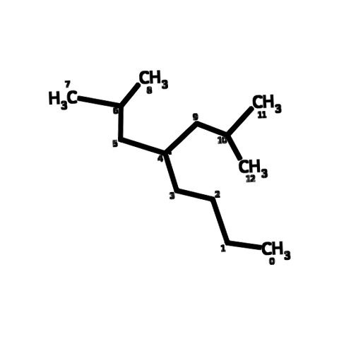 CCCC[C](CC(C)C)CC(C)C